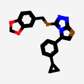 c1cc(-c2csc3nnc(SCc4ccc5c(c4)OCO5)n23)cc(C2CC2)c1